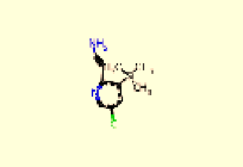 C[Si](C)(C)c1cc(Cl)cnc1C#CN